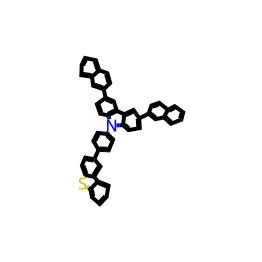 c1ccc2cc(-c3ccc4c(c3)c3cc(-c5ccc6ccccc6c5)ccc3n4-c3ccc(-c4ccc5sc6ccccc6c5c4)cc3)ccc2c1